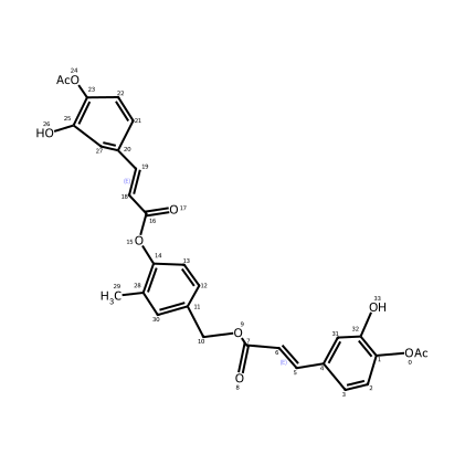 CC(=O)Oc1ccc(/C=C/C(=O)OCc2ccc(OC(=O)/C=C/c3ccc(OC(C)=O)c(O)c3)c(C)c2)cc1O